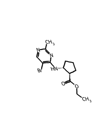 CCOC(=O)[C@@H]1CCC[C@H]1Nc1nc(C)ncc1Br